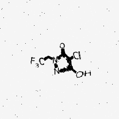 O=c1c(Cl)c(O)cnn1CC(F)(F)F